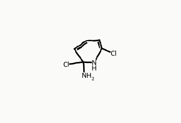 NC1(Cl)C=CC=C(Cl)N1